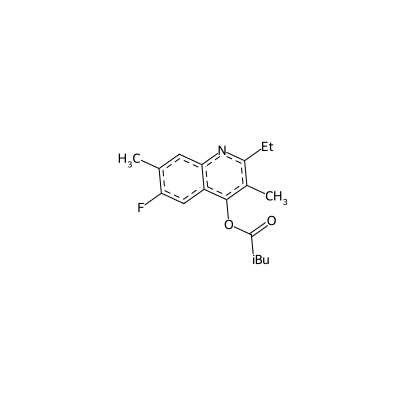 CCc1nc2cc(C)c(F)cc2c(OC(=O)C(C)CC)c1C